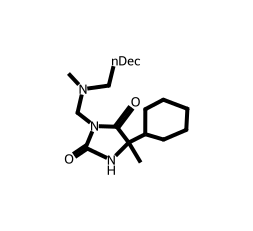 CCCCCCCCCCCN(C)CN1C(=O)NC(C)(C2CCCCC2)C1=O